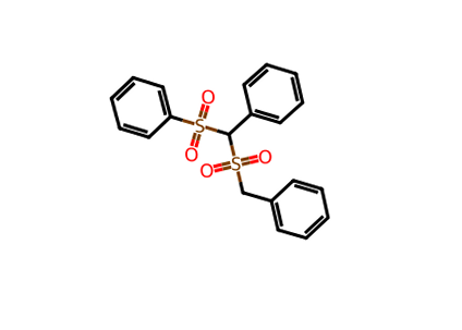 O=S(=O)(Cc1ccccc1)C(c1ccccc1)S(=O)(=O)c1ccccc1